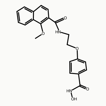 COc1c(C(=O)NCCOc2ccc(C(=O)NO)cc2)ccc2ccccc12